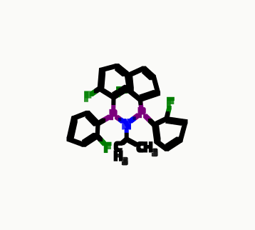 CC(C)N(P(c1ccccc1F)c1ccccc1F)P(c1ccccc1F)c1ccccc1F